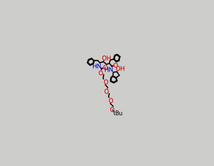 CC(C)(C)OCCOCCOCCOCCOC(=O)NC(Cc1ccccc1)C(O)CC(Cc1ccccc1)C(=O)N[C@H]1c2ccccc2C[C@@H]1O